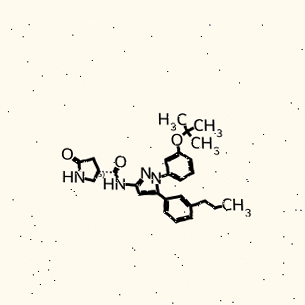 CCCc1cccc(-c2cc(NC(=O)[C@@H]3CNC(=O)C3)nn2-c2cccc(OC(C)(C)C)c2)c1